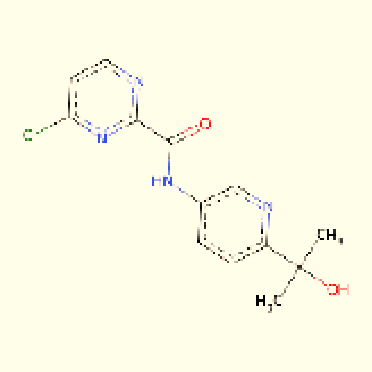 CC(C)(O)c1ccc(NC(=O)c2nccc(Cl)n2)cn1